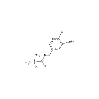 CCC(C)(C)[S+]([O-])/N=C/c1cnc(Cl)c(OC)c1